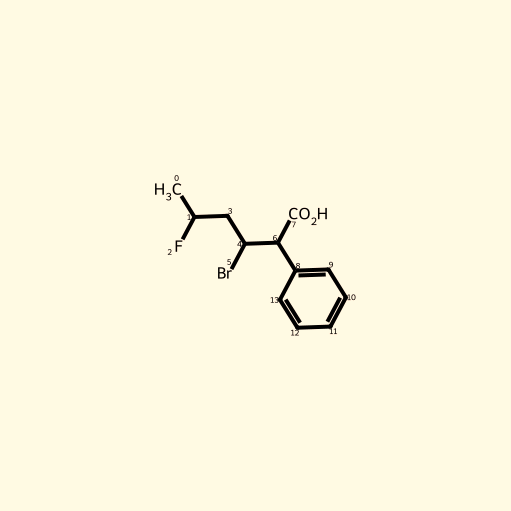 CC(F)CC(Br)C(C(=O)O)c1ccccc1